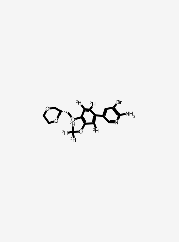 [2H]c1c([2H])c(-c2cnc(N)c(Br)c2)c([2H])c(OC([2H])([2H])[2H])c1OC[C@H]1COCCO1